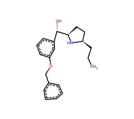 CCC[C@@H]1CC[C@H]([C@@H](O)c2cccc(OCc3ccccc3)c2)N1